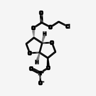 O=C(OCCl)O[C@H]1CO[C@H]2[C@@H]1OC[C@H]2O[N+](=O)[O-]